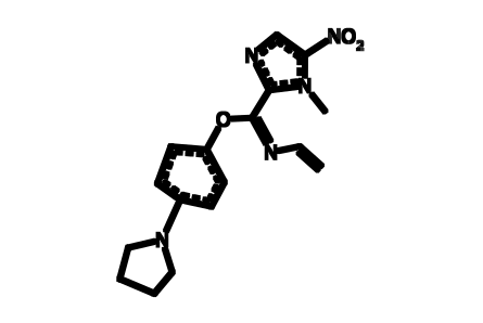 C=CN=C(Oc1ccc(N2CCCC2)cc1)c1ncc([N+](=O)[O-])n1C